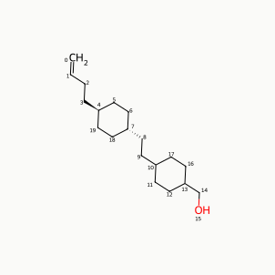 C=CCC[C@H]1CC[C@H](CCC2CCC(CO)CC2)CC1